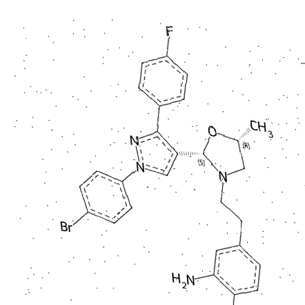 C[C@@H]1CN(CCc2ccc(N)c(N)c2)[C@H](c2cn(-c3ccc(Br)cc3)nc2-c2ccc(F)cc2)O1